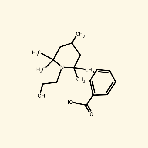 CC1CC(C)(C)N(CCO)C(C)(C)C1.O=C(O)c1ccccc1